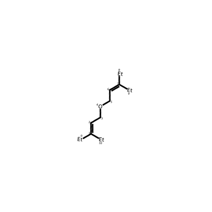 CCC(=CCOCC=C(CC)CC)CC